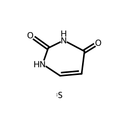 O=c1cc[nH]c(=O)[nH]1.[S]